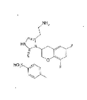 Cc1ccc(S(=O)(=O)O)cc1.NCCc1c[nH]c(=S)n1C1COc2c(F)cc(F)cc2C1